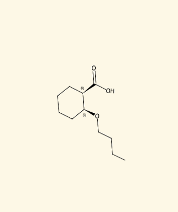 CCCCO[C@H]1CCCC[C@H]1C(=O)O